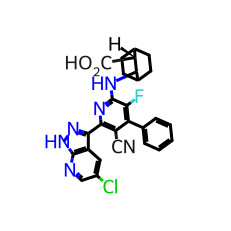 N#Cc1c(-c2n[nH]c3ncc(Cl)cc23)nc(NC2C3CCC(CC3)[C@H]2C(=O)O)c(F)c1-c1ccccc1